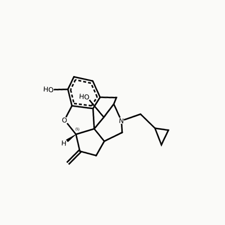 C=C1CC2CN(CC3CC3)C3Cc4ccc(O)c5c4C2(C3O)[C@H]1O5